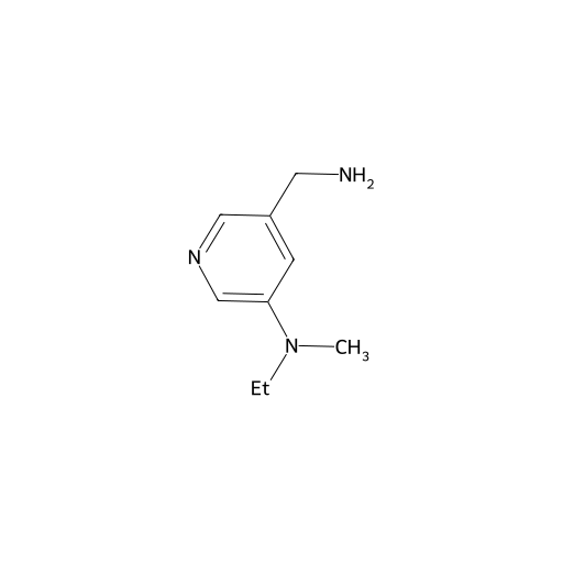 CCN(C)c1cncc(CN)c1